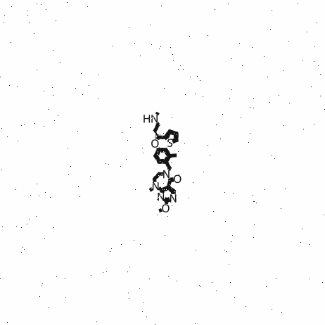 CNCC[C@H](Oc1ccc(CN2CCN(C)c3nc(OC)ncc3C2=O)c(C)c1)c1cccs1